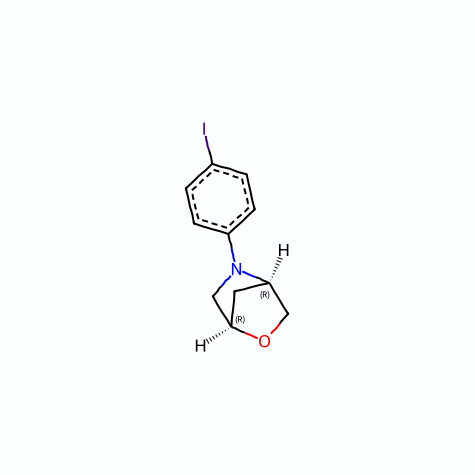 Ic1ccc(N2C[C@H]3C[C@@H]2CO3)cc1